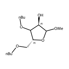 CCCCOC[C@H]1OC(OC)[C@H](O)C1OCCCC